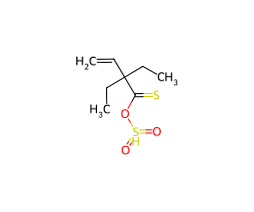 C=CC(CC)(CC)C(=S)O[SH](=O)=O